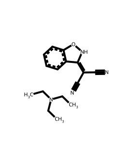 CCN(CC)CC.N#CC(C#N)=C1NOc2ccccc21